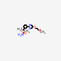 COCCCOc1cnc(-c2cccc(C(C)(C)OC(N)=O)c2)nc1